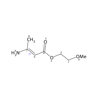 COCCOC(=O)/C=C(\C)N